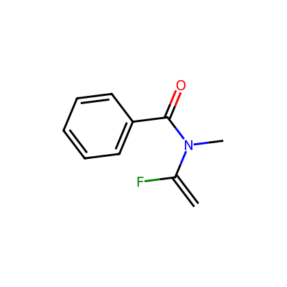 C=C(F)N(C)C(=O)c1ccccc1